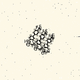 O=C1CCOc2cc(-c3ccc(C(F)(F)F)cc3)ccc2N1.O=C1CCSc2cc(-c3ccc(C(F)(F)F)cc3)ccc2N1.O=C1CN=Cc2cc(-c3ccc(C(F)(F)F)cc3)ccc2N1